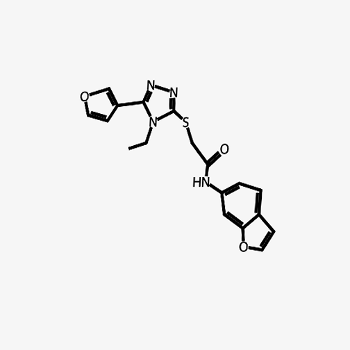 CCn1c(SCC(=O)Nc2ccc3ccoc3c2)nnc1-c1ccoc1